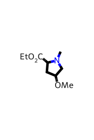 CCOC(=O)C1CC(OC)CN1C